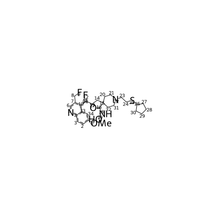 COc1ccc2ncc(CF)c([C@H](F)CCC3(C(=O)NO)CCN(CCSC4CCCC4)CC3)c2c1